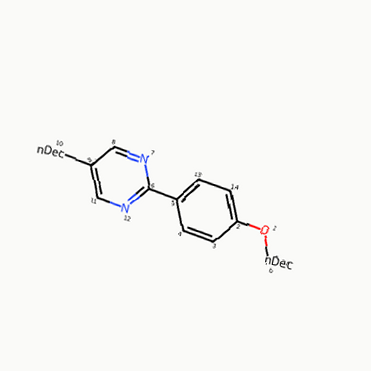 CCCCCCCCCCOc1ccc(-c2ncc(CCCCCCCCCC)cn2)cc1